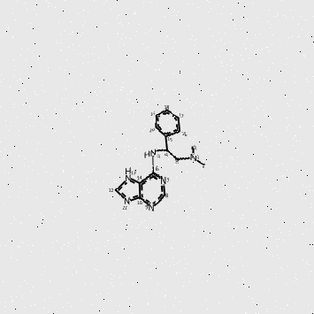 CN(C)CC(Nc1ncnc2nc[nH]c12)c1ccccc1